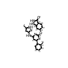 Cc1cc(Nc2cc(-c3ccccc3C)nc(Oc3ccc4c(=O)[nH][nH]c4c3)n2)n[nH]1